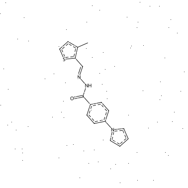 Cc1ccsc1/C=N/NC(=O)c1ccc(-n2cccc2)cc1